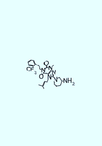 CC(C)=CCn1c(N2CCCC(N)C2)nc2c1c(=O)n(CCc1ccccc1C(F)(F)F)c(=O)n2C